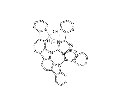 CC1(C)c2ccccc2-c2ccc3c4ccc5c6ccccc6n(-c6ccccc6)c5c4n(-c4nc(-c5ccccc5)nc(-c5ccccc5)n4)c3c21